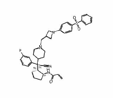 C=CC(=O)N[C@H]1CCC[C@@H]1[C@](C#N)(c1cccc(F)c1)C1CCN(CC2CN(c3ccc(S(=O)(=O)c4ccccc4)cc3)C2)CC1